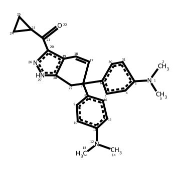 CN(C)c1ccc(C2(c3ccc(N(C)C)cc3)C=Cc3c(C(=O)C4CC4)n[nH]c3C2)cc1